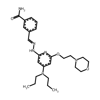 CCCN(CCC)c1cc(N/N=C/c2cccc(C(N)=O)c2)nc(OCCN2CCOCC2)c1